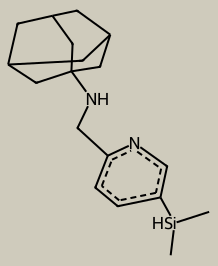 C[SiH](C)c1ccc(CNC23CC4CC(CC(C4)C2)C3)nc1